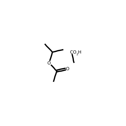 CC(=O)O.CC(=O)OC(C)C